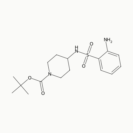 CC(C)(C)OC(=O)N1CCC(NS(=O)(=O)c2ccccc2N)CC1